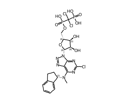 CN(c1nc(Cl)nc2c1nnn2[C@@H]1O[C@H](COP(=O)(O)C(Cl)(Cl)P(=O)(O)O)[C@@H](O)[C@H]1O)[C@H]1CCc2ccccc21